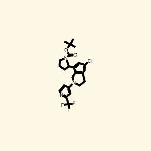 CC(C)(C)OC(=O)N1CCCC1c1cc(Cl)cc2c1CN(c1ccnc(C(F)(F)F)c1)CC2